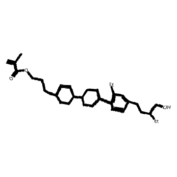 C=C(C)C(=O)OCCCC1CCC(C2CCC(c3ccc(CCC(CC)CO)cc3CC)CC2)CC1